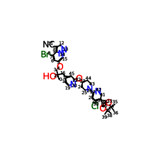 CC(O)(COc1cc(Br)c2c(C#N)cnn2c1)Cc1ccnc(OC2CCN(c3cc(Cl)c(B4OC(C)(C)C(C)(C)O4)cn3)CC2)c1